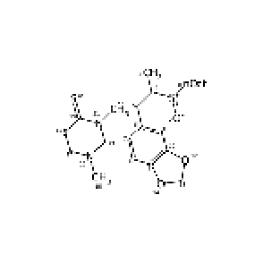 CCCCCCCC[S+]([O-])C(C)Cc1ccc2c(c1)OCO2.CN1CSC(=S)N(C)C1